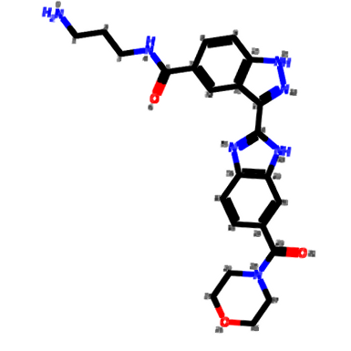 NCCCNC(=O)c1ccc2[nH]nc(-c3nc4ccc(C(=O)N5CCOCC5)cc4[nH]3)c2c1